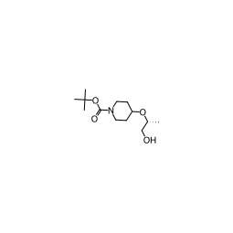 C[C@H](CO)OC1CCN(C(=O)OC(C)(C)C)CC1